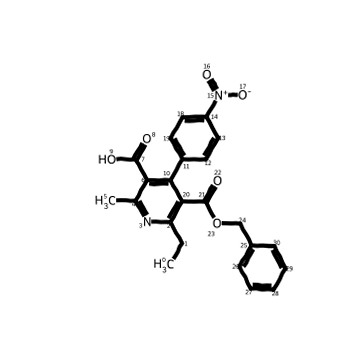 CCc1nc(C)c(C(=O)O)c(-c2ccc([N+](=O)[O-])cc2)c1C(=O)OCc1ccccc1